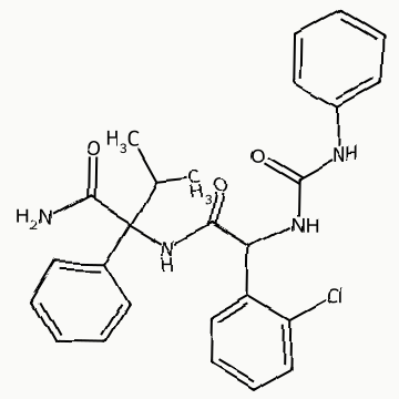 CC(C)C(NC(=O)C(NC(=O)Nc1ccccc1)c1ccccc1Cl)(C(N)=O)c1ccccc1